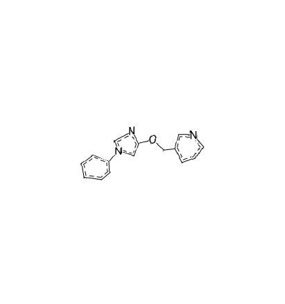 c1ccc(-n2cnc(OCc3cccnc3)c2)cc1